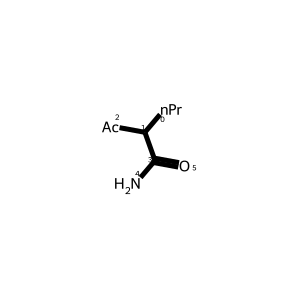 [CH2]CCC(C(C)=O)C(N)=O